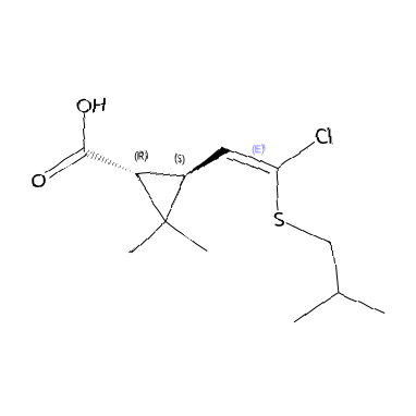 CC(C)CS/C(Cl)=C\[C@@H]1[C@@H](C(=O)O)C1(C)C